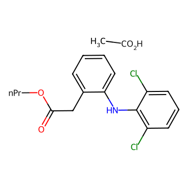 CC(=O)O.CCCOC(=O)Cc1ccccc1Nc1c(Cl)cccc1Cl